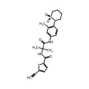 C#Cc1ccc(C(=O)NC(C)(C)C(=O)Nc2ccc(N3CCCCS3(=O)=O)c(C)c2)s1